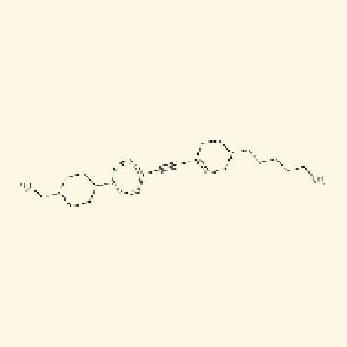 CCCCCCC1CC=C(C#Cc2ccc(C3CCC(CC)CC3)cc2)CC1